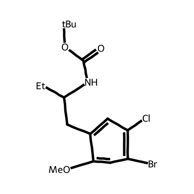 CCC(Cc1cc(Cl)c(Br)cc1OC)NC(=O)OC(C)(C)C